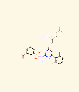 Cc1cccc(C)c1-c1cc(OC[C@H](N)CCC(C)C)nc(NS(=O)(=O)c2cccc(C(=O)O)c2)n1